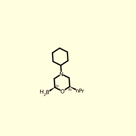 B[C@H]1CN(C2CCCCC2)C[C@@H](CCC)O1